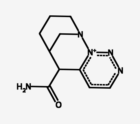 NC(=O)C1c2ccnn[n+]2N2CCCC1C2